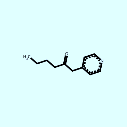 CCCCC(=O)Cc1ccncc1